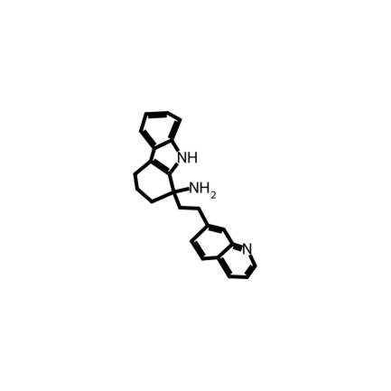 NC1(CCc2ccc3cccnc3c2)CCCc2c1[nH]c1ccccc21